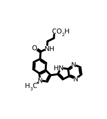 Cn1cc(-c2cc3nccnc3[nH]2)c2cc(C(=O)NCCC(=O)O)ccc21